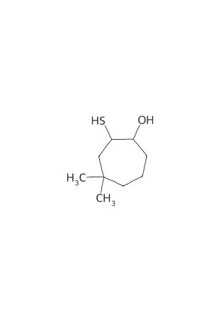 CC1(C)CCCC(O)C(S)C1